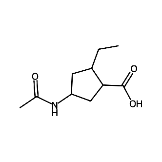 CCC1CC(NC(C)=O)CC1C(=O)O